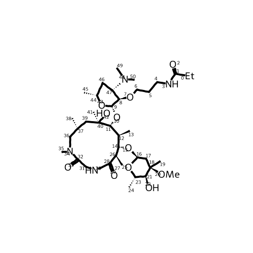 CCC(=O)NCCCO[C@H]1[C@H](O[C@@H]2[C@@H](C)[C@H](O[C@H]3C[C@@](C)(OC)[C@@H](O)[C@H](C)O3)[C@@H](C)C(=O)NCC(=O)N(C)C[C@H](C)C[C@@]2(C)O)O[C@H](C)C[C@@H]1N(C)C